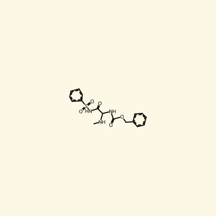 CNC(NC(=O)OCc1ccccc1)C(=O)NS(=O)(=O)c1ccccc1